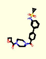 O=C(c1ccc(-c2cccc(NS(=O)(=O)C3CC3)c2)cc1)N1CCN(C(=O)C2CCO2)CC1